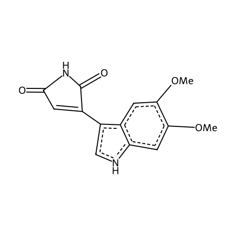 COc1cc2[nH]cc(C3=CC(=O)NC3=O)c2cc1OC